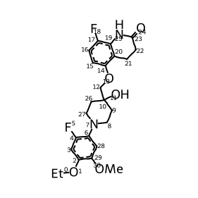 CCOc1cc(F)c(N2CCC(O)(COc3ccc(F)c4c3CCC(=O)N4)CC2)cc1OC